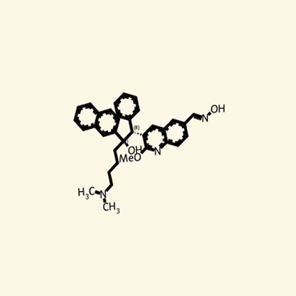 COc1nc2ccc(C=NO)cc2cc1[C@@H](c1ccccc1)[C@](O)(CCCCN(C)C)c1ccc2ccccc2c1